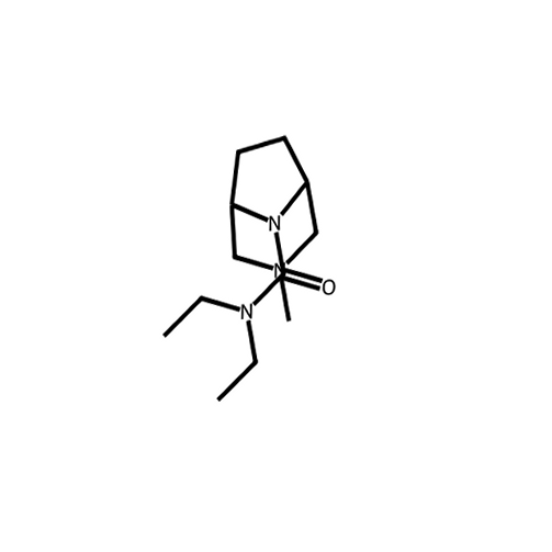 CCN(CC)C(=O)N1C2CCC1CN(C)C2